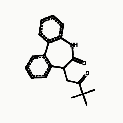 CC(C)(C)C(=O)CC1C(=O)Nc2ccc[c]c2-c2ccccc21